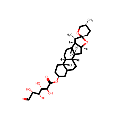 C[C@@H]1CC[C@@]2(OC1)O[C@H]1C[C@H]3[C@@H]4CCC5C[C@@H](OC(=O)[C@@H](O)[C@@H](O)[C@H](O)[C@@H](O)C=O)CC[C@]5(C)[C@H]4CC[C@]3(C)[C@H]1[C@@H]2C